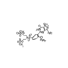 CCCOc1ccc(S(=O)(=O)N(CCOS(C)(=O)=O)CCOS(C)(=O)=O)cc1-c1nc2c(CCC)nn(C)c2c(=O)[nH]1